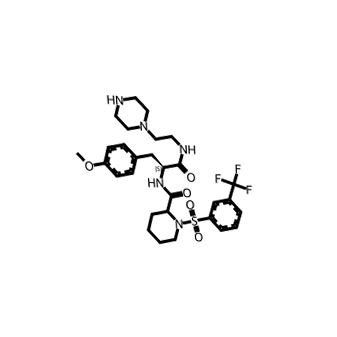 COc1ccc(C[C@H](NC(=O)C2CCCCN2S(=O)(=O)c2cccc(C(F)(F)F)c2)C(=O)NCCN2CCNCC2)cc1